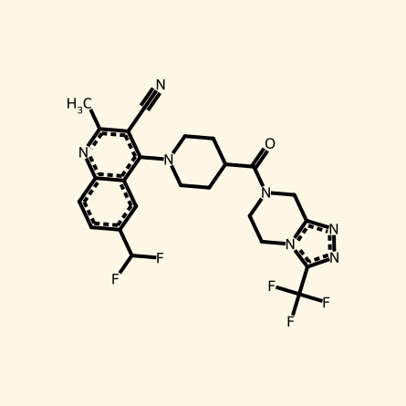 Cc1nc2ccc(C(F)F)cc2c(N2CCC(C(=O)N3CCn4c(nnc4C(F)(F)F)C3)CC2)c1C#N